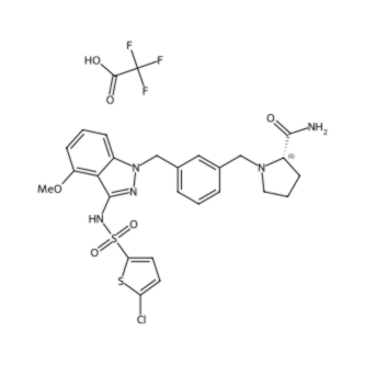 COc1cccc2c1c(NS(=O)(=O)c1ccc(Cl)s1)nn2Cc1cccc(CN2CCC[C@H]2C(N)=O)c1.O=C(O)C(F)(F)F